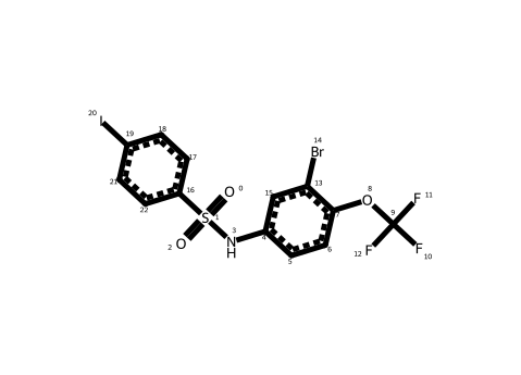 O=S(=O)(Nc1ccc(OC(F)(F)F)c(Br)c1)c1ccc(I)cc1